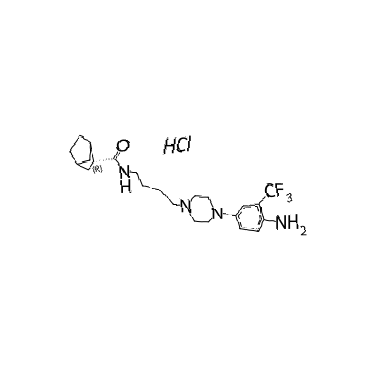 Cl.Nc1ccc(N2CCN(CCCCNC(=O)[C@@H]3CC4CCC3C4)CC2)cc1C(F)(F)F